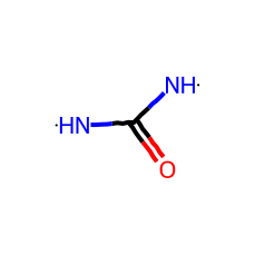 [NH]C([NH])=O